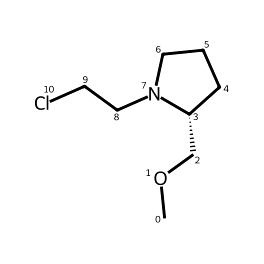 COC[C@H]1CCCN1CCCl